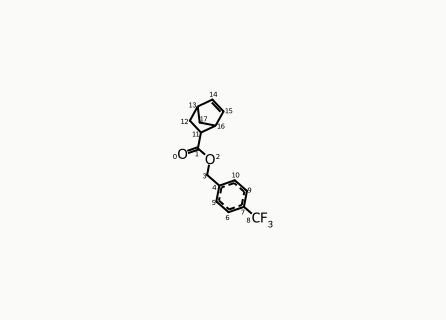 O=C(OCc1ccc(C(F)(F)F)cc1)C1CC2C=CC1C2